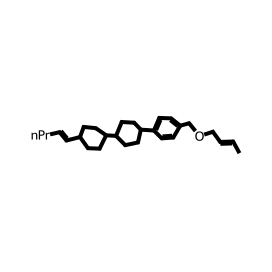 CC=CCOCc1ccc(C2CCC(C3CCC(C=CCCC)CC3)CC2)cc1